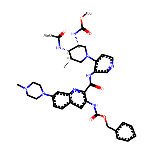 COC(=O)N[C@H]1[C@@H](C)CN(c2ccncc2NC(=O)c2nc3cc(N4CCN(C)CC4)ccc3cc2NC(=O)OCc2ccccc2)C[C@H]1NC(=O)OC(C)(C)C